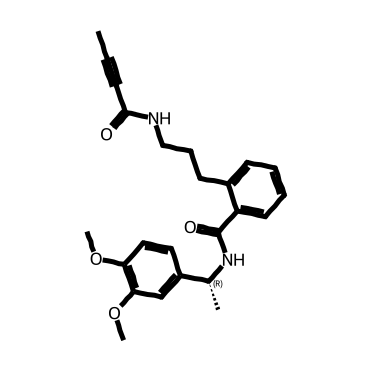 CC#CC(=O)NCCCc1ccccc1C(=O)N[C@H](C)c1ccc(OC)c(OC)c1